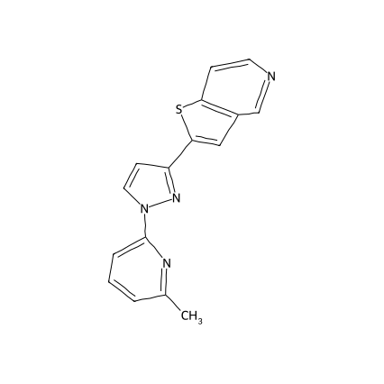 Cc1cccc(-n2ccc(-c3cc4cnccc4s3)n2)n1